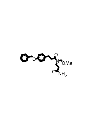 COCN(CCC(N)=O)C(=O)[CH]Cc1ccc(OCc2ccccc2)cc1